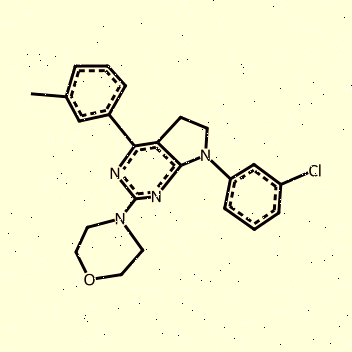 Cc1cccc(-c2nc(N3CCOCC3)nc3c2CCN3c2cccc(Cl)c2)c1